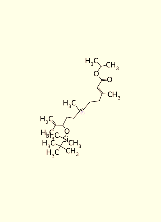 C=C(C)C(CC/C(C)=C/CCC(C)=CC(=O)OC(C)C)O[Si](C)(C)C(C)(C)C